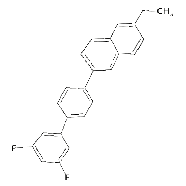 CCc1ccc2cc(-c3ccc(-c4cc(F)cc(F)c4)cc3)ccc2c1